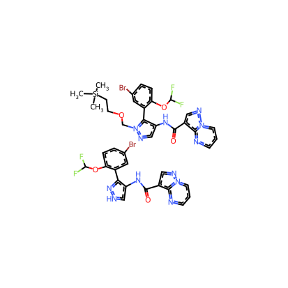 C[Si](C)(C)CCOCn1ncc(NC(=O)c2cnn3cccnc23)c1-c1cc(Br)ccc1OC(F)F.O=C(Nc1c[nH]nc1-c1cc(Br)ccc1OC(F)F)c1cnn2cccnc12